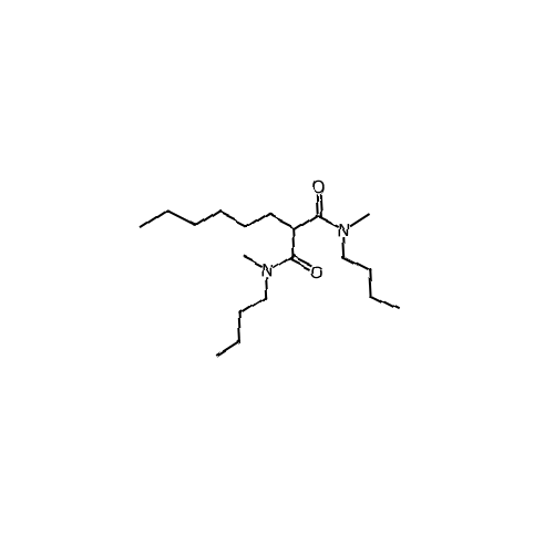 CCCCCCC(C(=O)N(C)CCCC)C(=O)N(C)CCCC